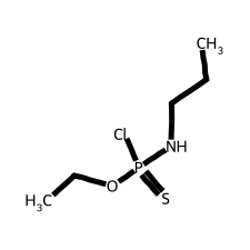 CCCNP(=S)(Cl)OCC